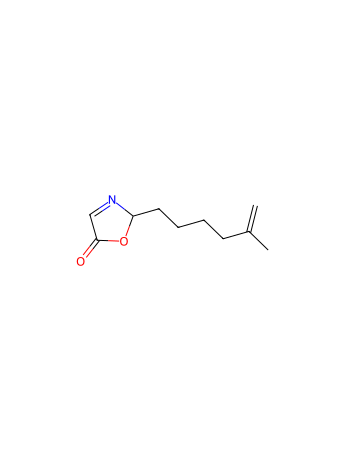 C=C(C)CCCCC1N=CC(=O)O1